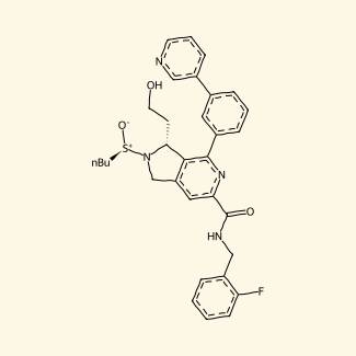 CCCC[S@@+]([O-])N1Cc2cc(C(=O)NCc3ccccc3F)nc(-c3cccc(-c4cccnc4)c3)c2[C@H]1CCO